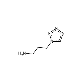 NCCCn1cnnn1